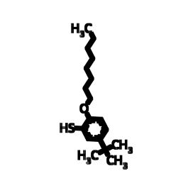 CCCCCCCCOc1ccc(C(C)(C)C)cc1S